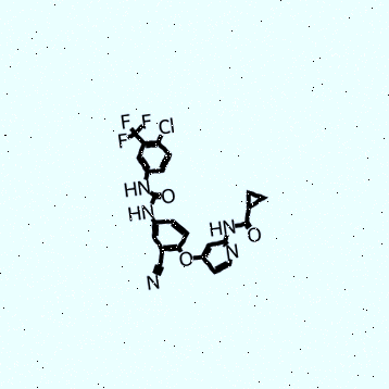 N#Cc1cc(NC(=O)Nc2ccc(Cl)c(C(F)(F)F)c2)ccc1Oc1ccnc(NC(=O)C2CC2)c1